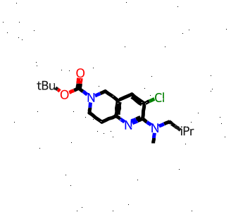 CC(C)CN(C)c1nc2c(cc1Cl)CN(C(=O)OC(C)(C)C)CC2